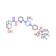 CC1CN(c2ccc(S(=O)(=O)N(C)C(C)(C)C)cc2)CCN1c1cccc(C(=O)NC2C3CC4CC2CC(O)(C4)C3)n1